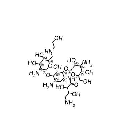 NCC(O)C(O)C(=O)N[C@@H]1C[C@H](N)C(O[C@H]2O[C@H](CNCCO)[C@@H](O)[C@H](O)[C@H]2N)[C@H](O)[C@H]1O[C@H]1O[C@H](CO)[C@@H](O)[C@H](N)[C@H]1O